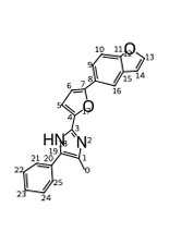 Cc1nc(-c2ccc(-c3ccc4occc4c3)o2)[nH]c1-c1ccccc1